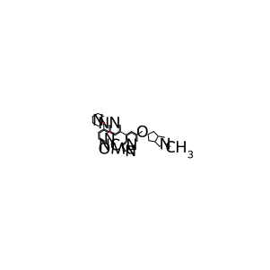 COc1ccc(CN2C3CC2CN(c2ccc(-c4cc(OC5CC6CN(C)CC6C5)cn5ncc(C#N)c45)cn2)C3)cn1